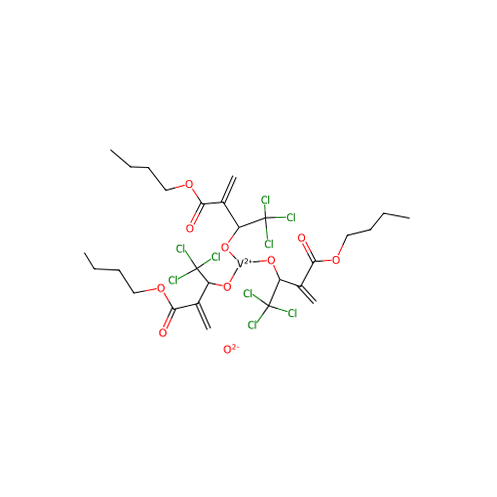 C=C(C(=O)OCCCC)C([O][V+2]([O]C(C(=C)C(=O)OCCCC)C(Cl)(Cl)Cl)[O]C(C(=C)C(=O)OCCCC)C(Cl)(Cl)Cl)C(Cl)(Cl)Cl.[O-2]